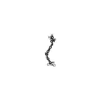 Cn1c(=O)n(C2CCC(=O)NC2=O)c2cccc(CN3CC(N4CCC(N5CC6(CCN(c7nccc(COc8ccc(C(C)(C)c9cc(Cl)c(OCCCl)c(C#N)c9)cc8)n7)CC6)C5)CC4)C3)c21